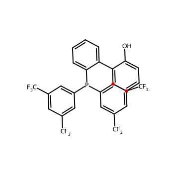 Oc1ccccc1-c1ccccc1P(c1cc(C(F)(F)F)cc(C(F)(F)F)c1)c1cc(C(F)(F)F)cc(C(F)(F)F)c1